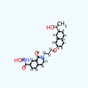 CC(O)c1ccc2ccc(OCCCn3ccc4ccc(C(=O)NO)cc4c3=O)cc2c1